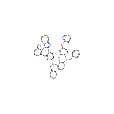 Cc1cccc(C)c1-n1c(-c2ccc(N(Cc3ccccc3)c3cccc(N(Cc4ccccc4)c4ccc(Oc5ccccn5)cc4)c3Cl)cc2)nc2ccccc21